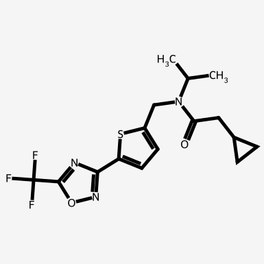 CC(C)N(Cc1ccc(-c2noc(C(F)(F)F)n2)s1)C(=O)CC1CC1